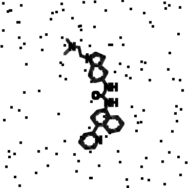 CN(C)CCn1ccc2cc(NC(=O)Nc3ccc(-c4ccccn4)c4ccccc34)ccc21